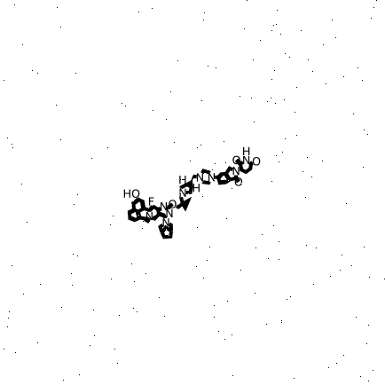 C#Cc1cccc2cc(O)cc(-c3ncc4c(N5CC6CCC(C6)C5)nc(OCC5(CN6C[C@@H]7[C@@H](CN8CCN(c9ccc%10c(c9)CN([C@H]9CCC(=O)NC9=O)C%10=O)CC8)[C@@H]7C6)CC5)nc4c3F)c12